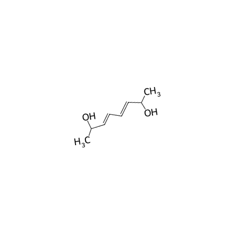 CC(O)C=CC=CC(C)O